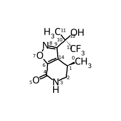 C[C@H]1CNC(=O)c2onc([C@@](C)(O)C(F)(F)F)c21